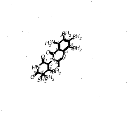 Bc1c(B)c(N)c2c(=O)n(C3C(=O)NC(=O)C(B)(B)C3B)c(C)nc2c1B